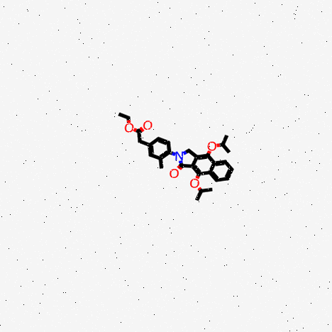 CCOC(=O)Cc1ccc(N2Cc3c(c(OC(C)C)c4ccccc4c3OC(C)C)C2=O)c(C)c1